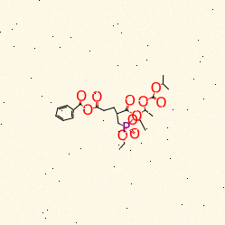 CCOP(=O)(CC(CCC(=O)OC(=O)c1ccccc1)C(=O)OC(C)OC(=O)OC(C)C)OCC